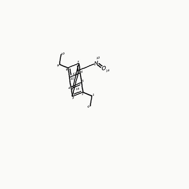 CCc1c2c3c1c1c(c(CC)c31)C(N=O)=C2